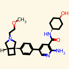 COCCN1C[C@H]2CC[C@@]2(c2ccc(-c3cnc(N)c(C(=O)N[C@H]4CC[C@H](O)CC4)c3)cc2)C1